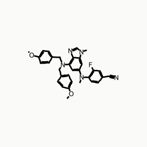 COc1ccc(CN(Cc2ccc(OC)cc2)c2cc(N(C)c3ccc(C#N)cc3F)cc3c2ncn3C)cc1